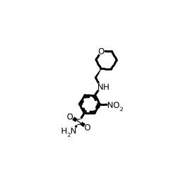 NS(=O)(=O)c1ccc(NC[C@@H]2CCCOC2)c([N+](=O)[O-])c1